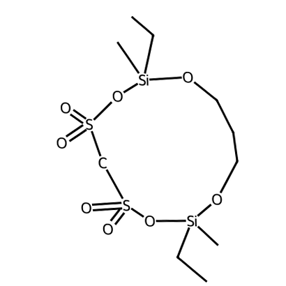 CC[Si]1(C)OCCCO[Si](C)(CC)OS(=O)(=O)CS(=O)(=O)O1